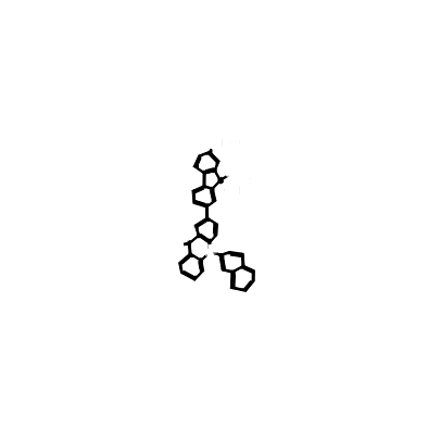 CC1(C)c2cc(C=O)ccc2-c2ccc(-c3ccc4c(c3)C(C)(C)c3ccccc3N4c3ccc4ccccc4c3)cc21